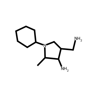 CC1C(N)C(CN)CN1C1CCCCC1